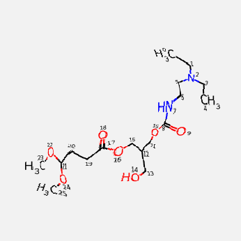 CCN(CC)CCNC(=O)OCC(CO)COC(=O)CCC(OC)OC